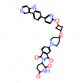 Cn1c2ccncc2c2ccc(-c3ccc(OC4CC(OC5CCN(c6ccc7c(c6)C(=O)N(C6CCC(=O)NC6=O)C7=O)CC5)C4)nc3)cc21